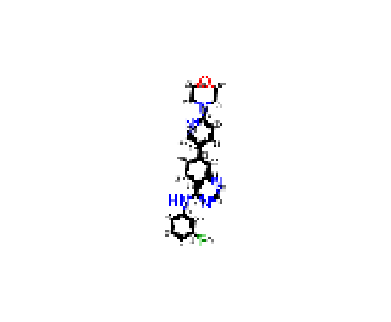 Fc1cccc(Nc2ncnc3cc(-c4ccc(N5CCOCC5)nc4)ccc23)c1